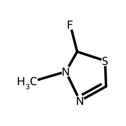 CN1N=CSC1F